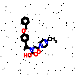 CN1CCN(C(=O)CN(C(=O)O)C2CC2c2ccc(OCc3ccccc3)cc2)CC1